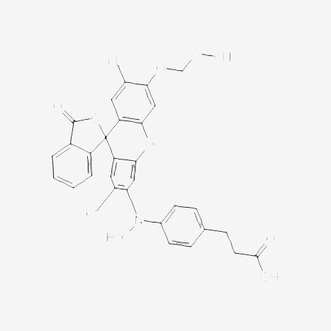 COCOc1cc2c(cc1Cl)C1(OC(=O)c3ccccc31)c1cc(Cl)c(N(C)c3ccc(CCC(=O)O)cc3)cc1O2